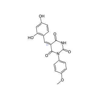 COc1ccc(N2C(=O)NC(=O)/C(=C\c3ccc(O)cc3O)C2=O)cc1